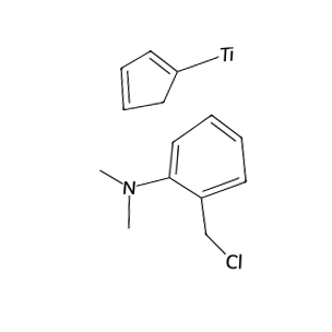 CN(C)c1ccccc1CCl.[Ti][C]1=CC=CC1